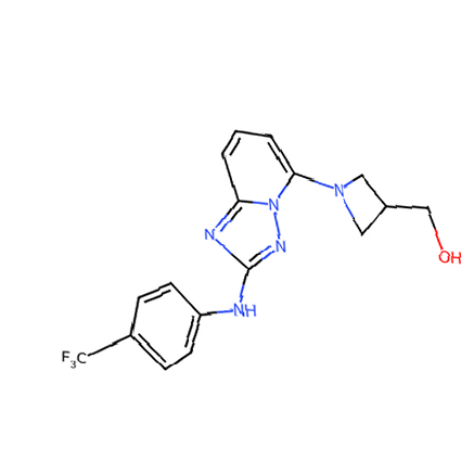 OCC1CN(c2cccc3nc(Nc4ccc(C(F)(F)F)cc4)nn23)C1